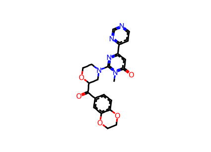 Cn1c(N2CCOC(C(=O)c3ccc4c(c3)OCCO4)C2)nc(-c2ccncn2)cc1=O